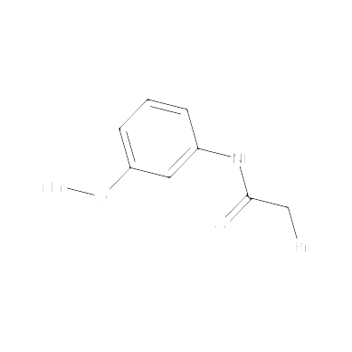 CCCOc1cccc(NC(=O)CBr)c1